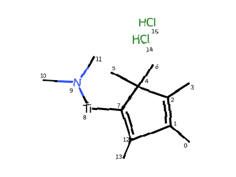 CC1=C(C)C(C)(C)[C]([Ti][N](C)C)=C1C.Cl.Cl